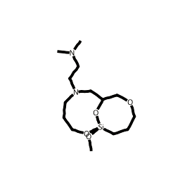 CO[Si]12CCCOCC(CN(CCN(C)C)CCCO1)O2